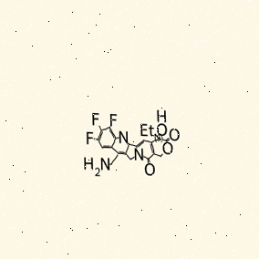 CC[C@@]1(O)C(=O)OCc2c1cc1n(c2=O)Cc2c-1nc1c(F)c(F)c(F)cc1c2CN